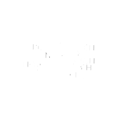 CC(C)(C)N(C(=O)O)[C@@H]1CCC(C)(O)C(C)(C)C1